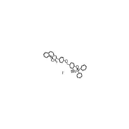 C[n+]1c(C=Cc2ccc(OCc3ccc(O[Si](c4ccccc4)(c4ccccc4)C(C)(C)C)cc3)cc2)ccc2ccccc21.[I-]